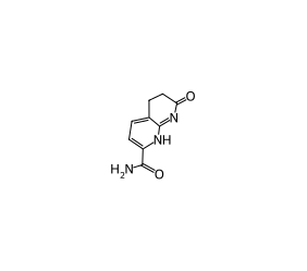 NC(=O)C1=CC=C2CCC(=O)N=C2N1